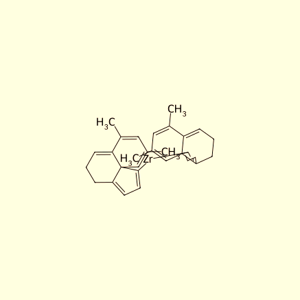 CC1=CC23C(=CC=[C]2[Zr][C]2=CC=C4CCC=C5C(C)=CC(C)=CC425)CCC=C3C(C)=C1